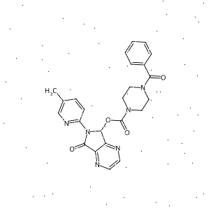 Cc1ccc(N2C(=O)c3nccnc3C2OC(=O)N2CCN(C(=O)c3ccccc3)CC2)nc1